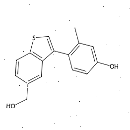 Cc1cc(O)ccc1-c1csc2ccc(CO)cc12